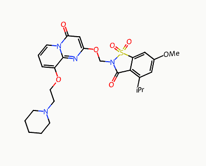 COc1cc(C(C)C)c2c(c1)S(=O)(=O)N(COc1cc(=O)n3cccc(OCCN4CCCCC4)c3n1)C2=O